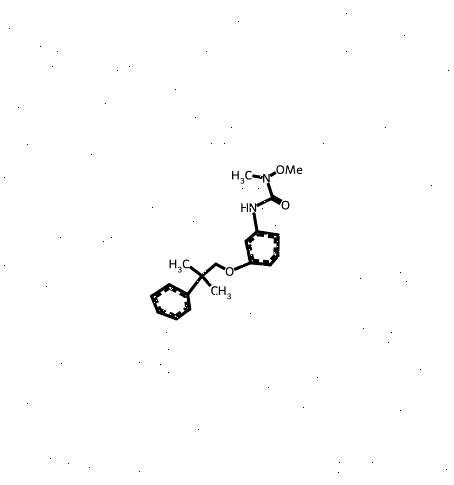 CON(C)C(=O)Nc1cccc(OCC(C)(C)c2ccccc2)c1